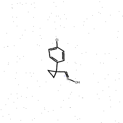 O/N=C/C1(c2ccc(Cl)cc2)CC1